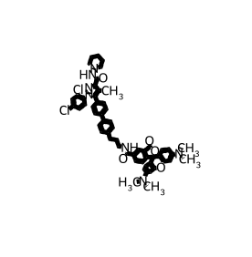 Cc1c(C(=O)NN2CCCCC2)nn(-c2ccc(Cl)cc2Cl)c1-c1ccc(-c2ccc(CCCNC(=O)c3ccc4c(c3)C(=O)OC43c4ccc(N(C)C)cc4Oc4cc(N(C)C)ccc43)cc2)cc1